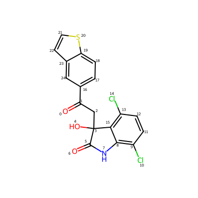 O=C(CC1(O)C(=O)Nc2c(Cl)ccc(Cl)c21)c1ccc2sccc2c1